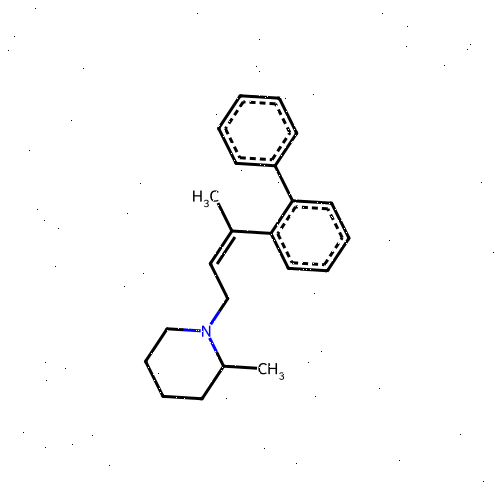 CC(=CCN1CCCCC1C)c1ccccc1-c1ccccc1